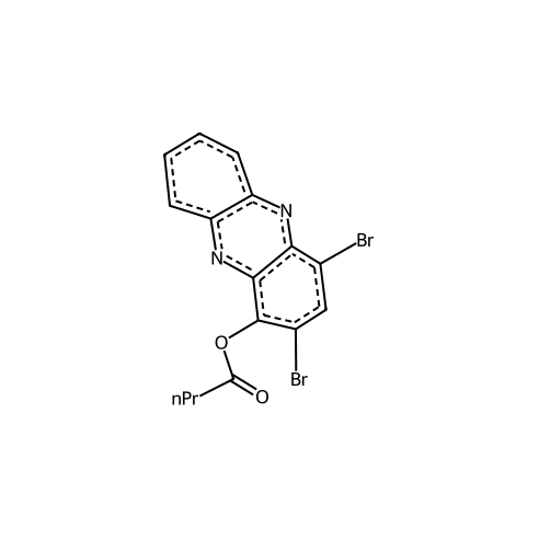 CCCC(=O)Oc1c(Br)cc(Br)c2nc3ccccc3nc12